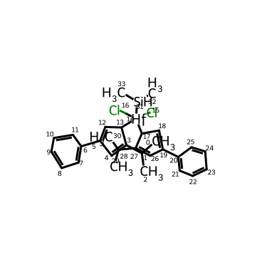 CC(C)C1=CC(c2ccccc2)=C[CH]1[Hf]([Cl])([Cl])([CH]1C=C(c2ccccc2)C=C1C(C)C)[SiH](C)C